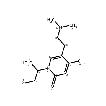 Cc1cc(=O)n(C(CC(C)C)C(=O)O)cc1CCN(C)C